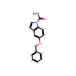 CNC(=O)n1ccc2cc(OCc3ccccc3)ccc21